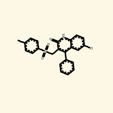 Cc1ccc(S(=O)(=O)Cc2c(-c3ccccc3)c3cc(Cl)ccc3[nH]c2=O)cc1